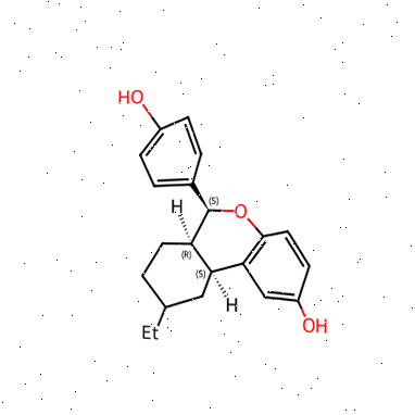 CCC1CC[C@@H]2[C@H](C1)c1cc(O)ccc1O[C@@H]2c1ccc(O)cc1